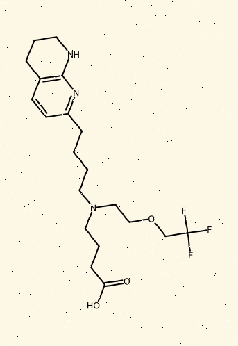 O=C(O)CCCN(CCCCc1ccc2c(n1)NCCC2)CCOCC(F)(F)F